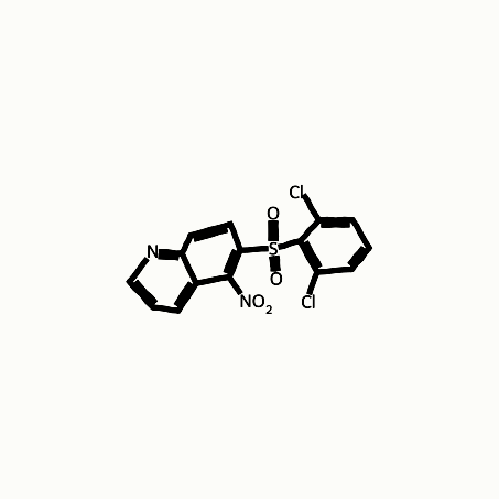 O=[N+]([O-])c1c(S(=O)(=O)c2c(Cl)cccc2Cl)ccc2ncccc12